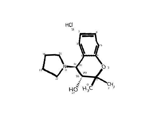 CC1(C)Oc2ccccc2[C@H](N2CCCC2)[C@H]1O.Cl